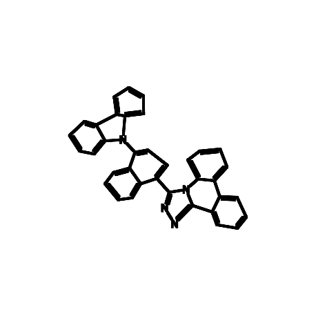 c1ccc2c(-n3c4ccccc4c4ccccc43)ccc(-c3nnc4c5ccccc5c5ccccc5n34)c2c1